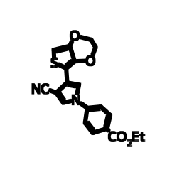 CCOC(=O)c1ccc(-n2cc(C#N)c(-c3scc4c3OCCO4)c2)cc1